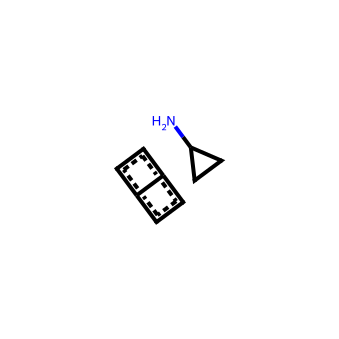 NC1CC1.c1cc2ccc1-2